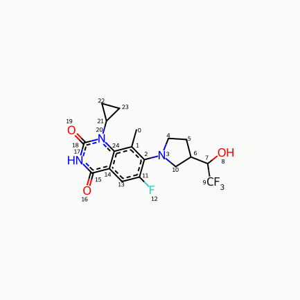 Cc1c(N2CCC(C(O)C(F)(F)F)C2)c(F)cc2c(=O)[nH]c(=O)n(C3CC3)c12